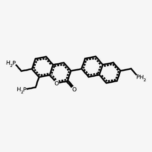 O=c1oc2c(CP)c(CP)ccc2cc1-c1ccc2cc(CP)ccc2c1